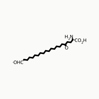 N[C@@H](CCC(=O)CCCCCCCCCCCCCCC[C]=O)C(=O)O